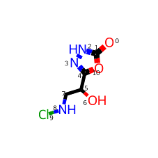 O=c1[nH]nc(C(O)CNCl)o1